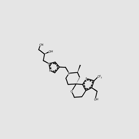 C[C@H]1C[C@@]2(CCN1Cc1cnn(C[C@H](O)CC#N)c1)OCCc1c2sc(C(F)(F)F)c1CO